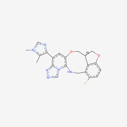 Cc1c(-c2cc3c(n4cnnc24)NCc2c(F)ccc4c2[C@H](CO4)CO3)ncn1C